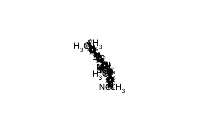 CN(C)c1ccc(-c2cc3sc(-c4cnc(-c5ccc(-c6ccc(N(C)C#N)cc6)n5C)c5nsnc45)cc3s2)cc1